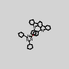 c1ccc(-c2nc(-c3ccccc3)nc(-c3ccc(-c4nc5ccccc5c5ccc6c7ccccc7n(-c7ccccc7)c6c45)cc3)n2)cc1